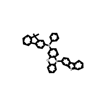 CC1(C)c2ccccc2-c2ccc(N(c3ccccc3)c3ccc4c(c3)Oc3ccccc3N4c3ccc4c(c3)sc3ccccc34)cc21